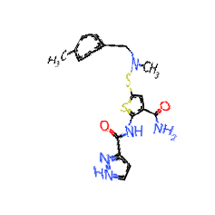 Cc1ccc(CN(C)Sc2cc(C(N)=O)c(NC(=O)c3cc[nH]n3)s2)cc1